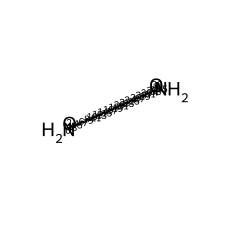 NC(=O)CCCCCCCCCCCCCCCCCCCCCCCCCCCCCCCC(N)=O